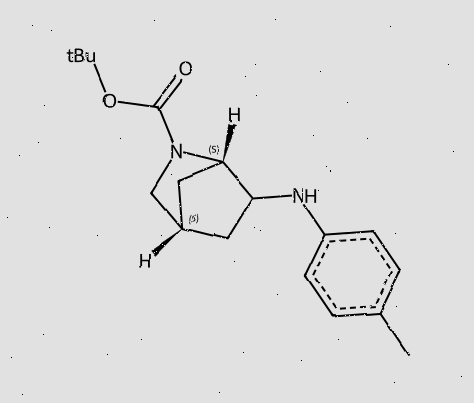 Cc1ccc(NC2C[C@H]3C[C@@H]2N(C(=O)OC(C)(C)C)C3)cc1